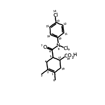 CC1=C(C)CC(C(=O)N(Cl)c2ccc(Cl)cc2)C(C(=O)O)C1